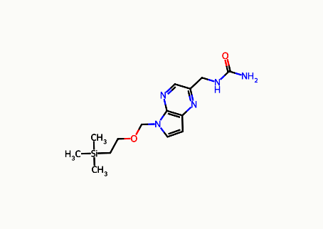 C[Si](C)(C)CCOCn1ccc2nc(CNC(N)=O)cnc21